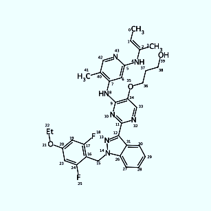 CC=C(C)Nc1cc(Nc2nc(-c3nn(Cc4c(F)cc(OCC)cc4F)c4ccccc34)ncc2OCCCO)c(C)cn1